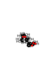 C[C@@]1(C(=O)OC2OC(CO)C(O)C(OC3OC(CO)C(O)C(O)C3O)C2OC2OC(CO)C(O)C(O)C2O)CCC[C@]2(C)C1CC[C@@]13C[C@@](O)(CC[C@H]12)[C@](C)(O)C3